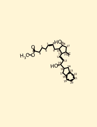 COC(=O)CCC/C=C\CC1C(/C=C/[C@H](O)C2Cc3ccccc3C2)C(F)C[C@@H]1O